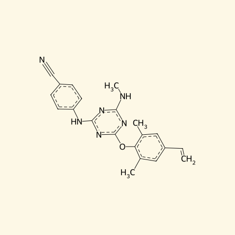 C=Cc1cc(C)c(Oc2nc(NC)nc(Nc3ccc(C#N)cc3)n2)c(C)c1